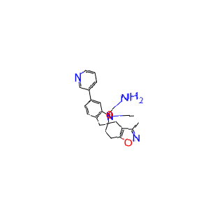 Cc1noc2c1CC1(CC2)Cc2ccc(-c3cccnc3)cc2C12N=C(N)N(C)O2